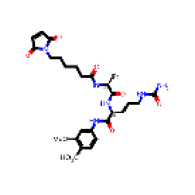 COc1cc(NC(=O)[C@H](CCCNC(N)=O)NC(=O)[C@@H](NC(=O)CCCCCN2C(=O)C=CC2=O)C(C)C)ccc1C(=O)O